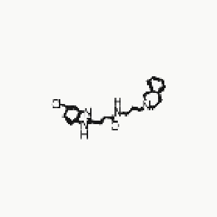 O=C(CCc1nc2cc(Cl)ccc2[nH]1)NCCCN1CCc2ccccc2C1